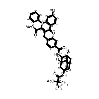 COC(=O)c1c(Cc2ccc(C(=O)NC3[C@@H]4CC5C[C@H]3CC(NC(=O)C(C)(C)OC(C)=O)(C5)C4)cc2)c(=O)c2ccc(Cl)cc2n1-c1ccccc1